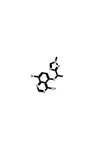 CC(Sc1ccc(Br)c2ncnc(O)c12)c1ncn(C)n1